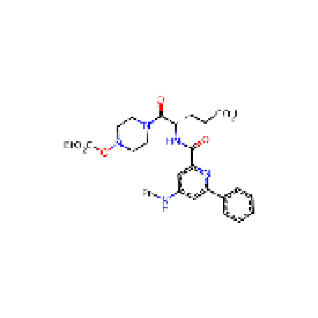 CCOC(=O)ON1CCN(C(=O)[C@H](CCC(=O)O)NC(=O)c2cc(NC(C)C)cc(-c3ccccc3)n2)CC1